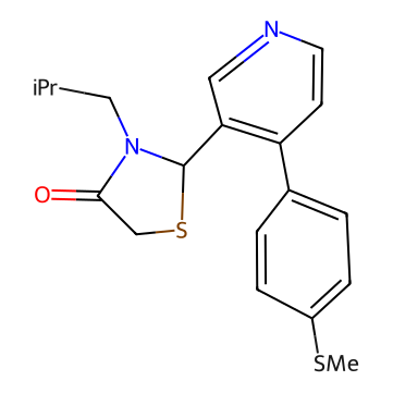 CSc1ccc(-c2ccncc2C2SCC(=O)N2CC(C)C)cc1